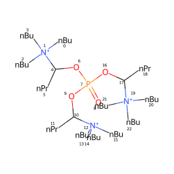 CCCC[N+](CCCC)(CCCC)C(CCC)OP(=O)(OC(CCC)[N+](CCCC)(CCCC)CCCC)OC(CCC)[N+](CCCC)(CCCC)CCCC